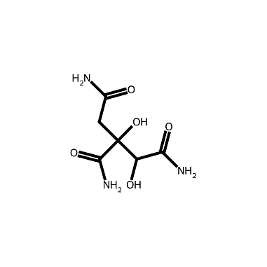 NC(=O)CC(O)(C(N)=O)C(O)C(N)=O